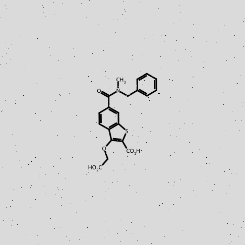 CN(Cc1ccccc1)C(=O)c1ccc2c(OCC(=O)O)c(C(=O)O)sc2c1